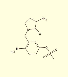 CS(=O)(=O)Oc1ccc(Br)c(CN2CCC(N)C2=O)c1.Cl